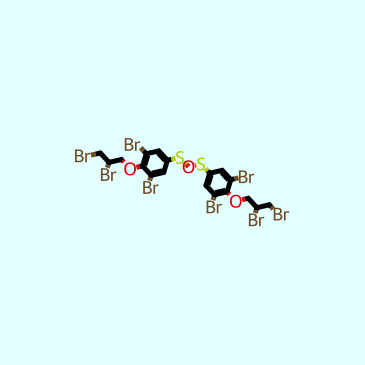 BrCC(Br)COc1c(Br)cc(SOSc2cc(Br)c(OCC(Br)CBr)c(Br)c2)cc1Br